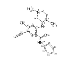 CN1CCN(C)/C(=N/c2cc(Cl)c(C#N)cc2C(=O)Nc2ccccc2)C1